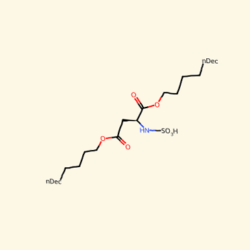 CCCCCCCCCCCCCCOC(=O)C[C@H](NS(=O)(=O)O)C(=O)OCCCCCCCCCCCCCC